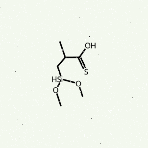 CO[SiH](CC(C)C(O)=S)OC